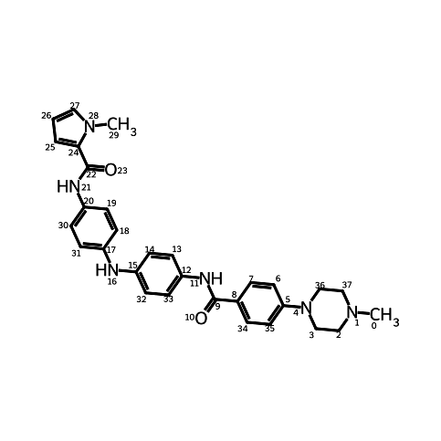 CN1CCN(c2ccc(C(=O)Nc3ccc(Nc4ccc(NC(=O)c5cccn5C)cc4)cc3)cc2)CC1